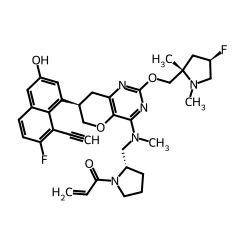 C#Cc1c(F)ccc2cc(O)cc([C@@H]3COc4c(nc(OC[C@]5(C)C[C@@H](F)CN5C)nc4N(C)C[C@@H]4CCCN4C(=O)C=C)C3)c12